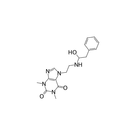 Cn1c(=O)c2c(ncn2CCNC(O)Cc2ccccc2)n(C)c1=O